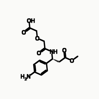 COC(=O)C[C@@H](NC(=O)COCC(=O)O)c1ccc(N)cc1